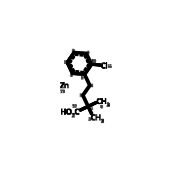 CC(C)(CCc1ccccc1Cl)C(=O)O.[Zn]